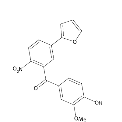 COc1cc(C(=O)c2cc(-c3ccco3)ccc2[N+](=O)[O-])ccc1O